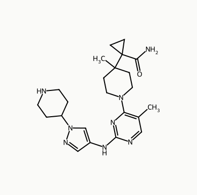 Cc1cnc(Nc2cnn(C3CCNCC3)c2)nc1N1CCC(C)(C2(C(N)=O)CC2)CC1